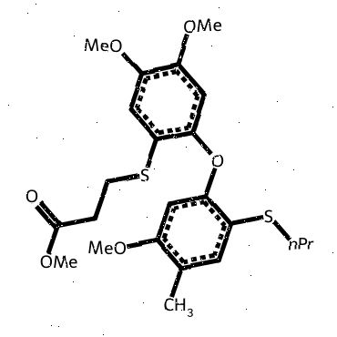 CCCSc1cc(C)c(OC)cc1Oc1cc(OC)c(OC)cc1SCCC(=O)OC